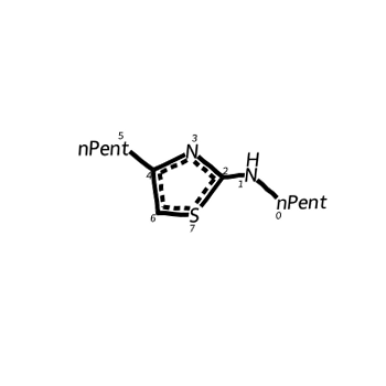 CCCCCNc1nc(CCCCC)cs1